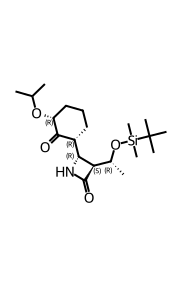 CC(C)O[C@@H]1CCC[C@H]([C@H]2NC(=O)[C@@H]2[C@@H](C)O[Si](C)(C)C(C)(C)C)C1=O